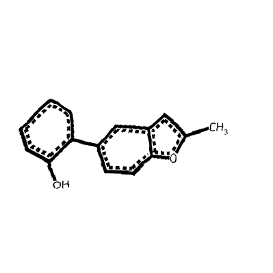 Cc1cc2cc(-c3ccccc3O)ccc2o1